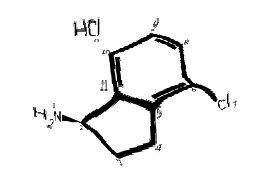 Cl.N[C@@H]1CCc2c(Cl)cccc21